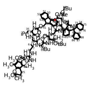 CC[C@H](C)[C@H](NC(=O)[C@H](CCCNC(=N)NS(=O)(=O)c1c(C)c(C)c2c(c1C)CCC(C)(C)O2)NC(=O)[C@H](CC(C)C)NC(=O)OCC1c2ccccc2-c2ccccc21)C(=O)N[C@H](C(=O)NCC(=O)N[C@@H](CC(=O)NC(c1ccccc1)(c1ccccc1)c1ccccc1)C(=O)N[C@@H](COC(C)(C)C)C(=O)OC)[C@@H](C)OC(C)(C)C